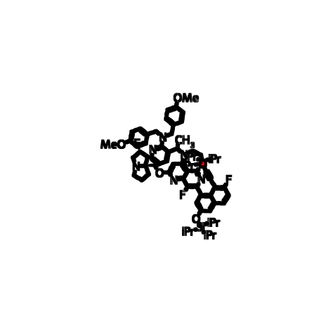 COc1ccc(CN(Cc2ccc(OC)cc2)c2ncccc2C(C)N2CCOc3nc(-c4cc(O[Si](C(C)C)(C(C)C)C(C)C)cc5ccc(F)c(C#C[Si](C(C)C)(C(C)C)C(C)C)c45)c(F)c4nc(OC[C@@]56CCCN5C[C@H](F)C6)cc2c34)cc1